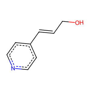 OCC=Cc1ccncc1